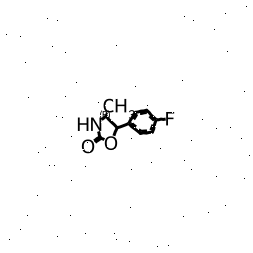 C[C@H]1NC(=O)OC1c1ccc(F)cc1